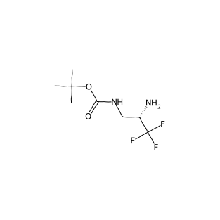 CC(C)(C)OC(=O)NC[C@H](N)C(F)(F)F